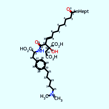 CCCCCCCC(=O)CCCCCC/C=C/C(C(=O)N[C@@H](Cc1ccc(CCCCCN(C)C)cc1)C(=O)O)[C@@](O)(CC(=O)O)C(=O)O